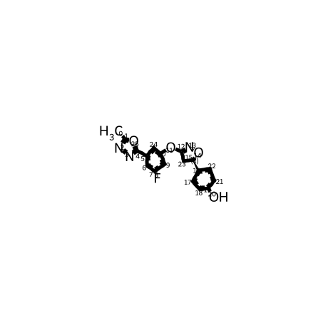 Cc1nnc(-c2cc(F)cc(OC3=NO[C@@H](c4ccc(O)cc4)C3)c2)o1